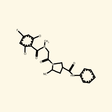 CN(CC(=O)N1CC(C(=O)Nc2ccccc2)CC1C#N)C(=O)c1c(Cl)cc(F)cc1Cl